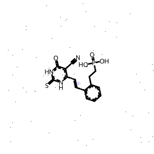 N#Cc1c(/C=C/c2ccccc2CCP(=O)(O)O)[nH]c(=S)[nH]c1=O